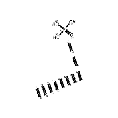 C=C.C=C.C=C.C=C.C=C.C=C.C=C.C=C.C=C.C=C.O=P(O)(O)O